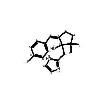 CC1(C)CCC(=Cc2ccc(F)cc2)C1(O)Cc1ncc[nH]1